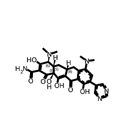 CN(C)c1cc(-c2cncnc2)c(O)c2c1C[C@H]1C[C@H]3[C@H](N(C)C)C(O)=C(C(N)=O)C(=O)[C@@]3(O)C(O)=C1C2=O